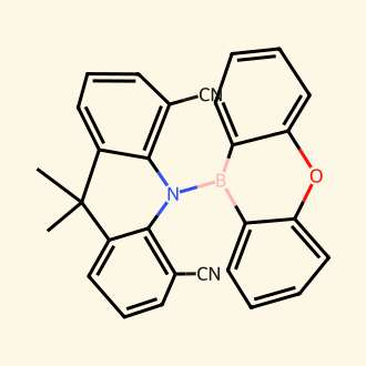 CC1(C)c2cccc(C#N)c2N(B2c3ccccc3Oc3ccccc32)c2c(C#N)cccc21